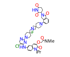 CNC(=O)COc1cc2cc(Nc3nc(N4CCC(F)(CN5CC6(CCN(c7cccc8c7CN(C7CCC(=O)NC7=O)C8=O)CC6)C5)CC4)ncc3Cl)ccc2n(C(C)C)c1=O